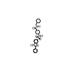 O=C(NCC1CCCCC1)C1CCC(NS(=O)(=O)c2ccc3[nH]c(-c4ccccc4)nc3c2)CC1